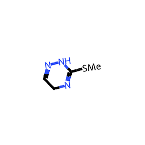 [CH2]SC1=NCC=NN1